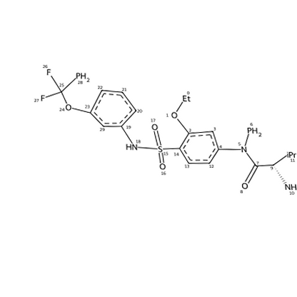 CCOc1cc(N(P)C(=O)[C@@H](NC(C)=O)C(C)C)ccc1S(=O)(=O)Nc1cccc(OC(F)(F)P)c1